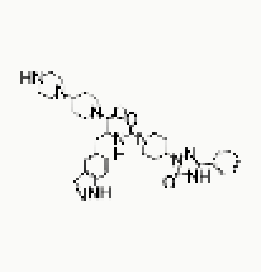 O=C(NC(Cc1ccc2[nH]ncc2c1)C(=O)N1CCC(N2CCNCC2)CC1)N1CCC(n2nc(-c3ccccc3)[nH]c2=O)CC1